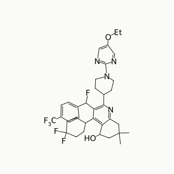 CCOc1cnc(N2CCC(c3nc4c(c(C5CCC(F)(F)CC5)c3C(F)c3ccc(C(F)(F)F)cc3)C(O)CC(C)(C)C4)CC2)nc1